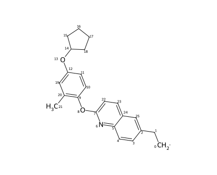 [CH2]Cc1ccc2nc(Oc3ccc(OC4CCCC4)cc3C)ccc2c1